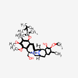 COc1c(C)cc2c(c1O)[C@@H]1C3=Cc4c(O[Si](C)(C)C(C)(C)C)c(C)c(OC)c(OC)c4[C@H](CO)N3C[C@H](C2)N1C